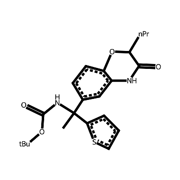 CCCC1Oc2ccc(C(C)(NC(=O)OC(C)(C)C)c3cccs3)cc2NC1=O